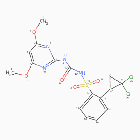 COc1cc(OC)nc(NC(=O)NS(=O)(=O)c2ccccc2C2CC2(Cl)Cl)n1